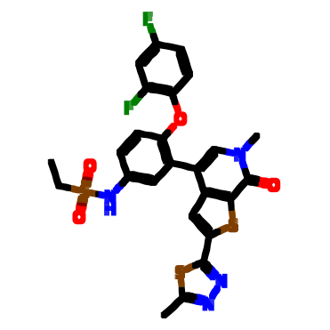 CCS(=O)(=O)Nc1ccc(Oc2ccc(F)cc2F)c(-c2cn(C)c(=O)c3sc(-c4nnc(C)s4)cc23)c1